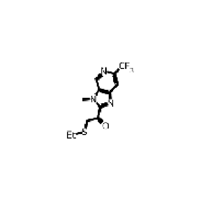 CCSCC(=O)c1nc2cc(C(F)(F)F)ncc2n1C